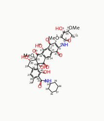 CO[C@@H]1[C@@H](O)[C@@H](OC)[C@@H](NC2=CC(=O)c3c(cc4c(c3O)C(=O)[C@]3(OC)[C@H](O)Cc5cc(C)c(C(=O)NC6CCCCC6)c(O)c5[C@]3(O)C4=O)C2=O)O[C@H]1C